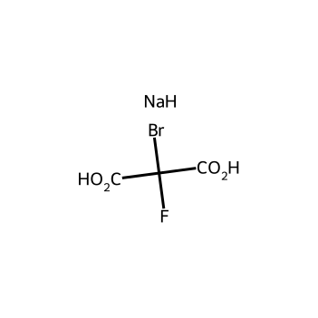 O=C(O)C(F)(Br)C(=O)O.[NaH]